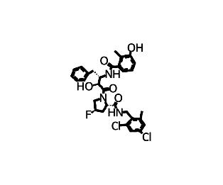 Cc1cc(Cl)cc(Cl)c1CNC(=O)[C@@H]1C[C@@H](F)CN1C(=O)[C@@H](O)[C@H](Cc1ccccc1)NC(=O)c1cccc(O)c1C